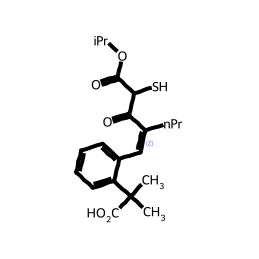 CCC/C(=C/c1ccccc1C(C)(C)C(=O)O)C(=O)C(S)C(=O)OC(C)C